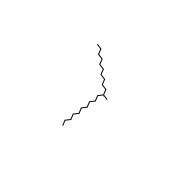 CCCCCCCCCC[C](C)CCCCCCCCCC